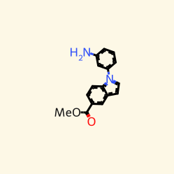 COC(=O)c1ccc2c(ccn2-c2cccc(N)c2)c1